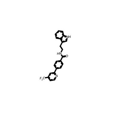 O=C(NCCc1c[nH]c2ccccc12)c1ccc(-c2cc(C(F)(F)F)ccn2)cc1